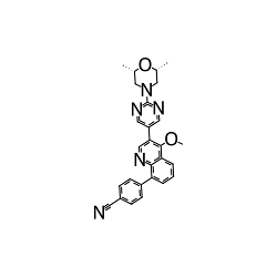 COc1c(-c2cnc(N3C[C@@H](C)O[C@@H](C)C3)nc2)cnc2c(-c3ccc(C#N)cc3)cccc12